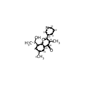 Cc1cc([C@H](C)O)c2oc(-c3cccnc3)c(C)c(=O)c2c1